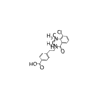 CN(C)c1c(Cl)cccc1C(=O)NCCc1ccc(C(=O)O)cc1